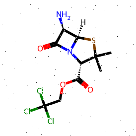 CC1(C)S[C@@H]2[C@H](N)C(=O)N2[C@H]1C(=O)OCC(Cl)(Cl)Cl